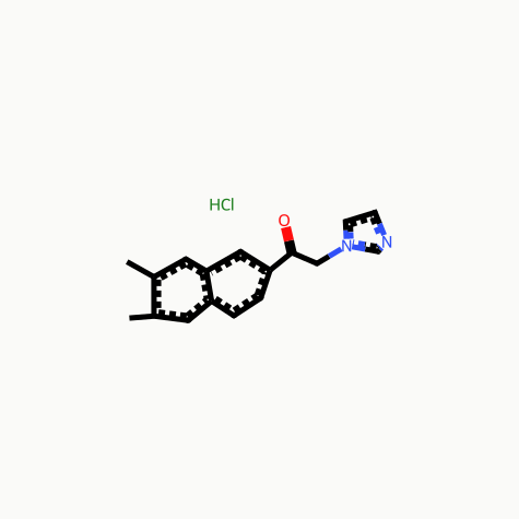 Cc1cc2ccc(C(=O)Cn3ccnc3)cc2cc1C.Cl